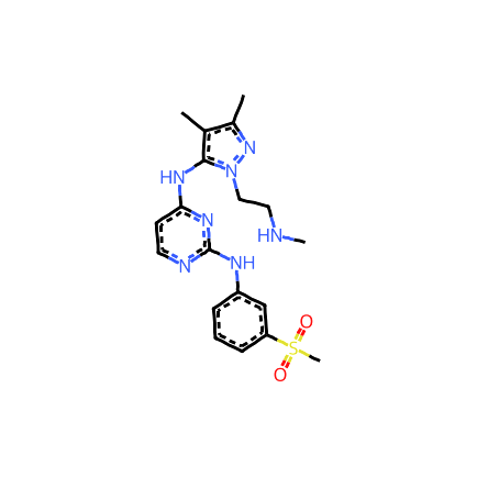 CNCCn1nc(C)c(C)c1Nc1ccnc(Nc2cccc(S(C)(=O)=O)c2)n1